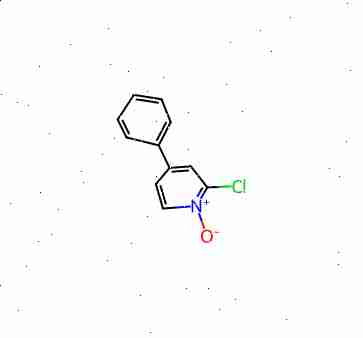 [O-][n+]1ccc(-c2ccccc2)cc1Cl